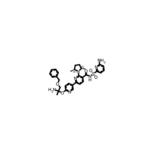 C[C@@H]1CC[C@H](C)N1c1nc(-c2ccc(OC(C)(N)COCc3ccccc3)nc2)ccc1C(=O)NS(=O)(=O)c1cccc(N)n1